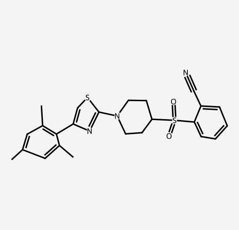 Cc1cc(C)c(-c2csc(N3CCC(S(=O)(=O)c4ccccc4C#N)CC3)n2)c(C)c1